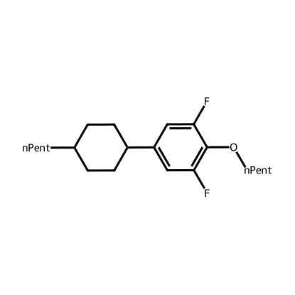 CCCCCOc1c(F)cc(C2CCC(CCCCC)CC2)cc1F